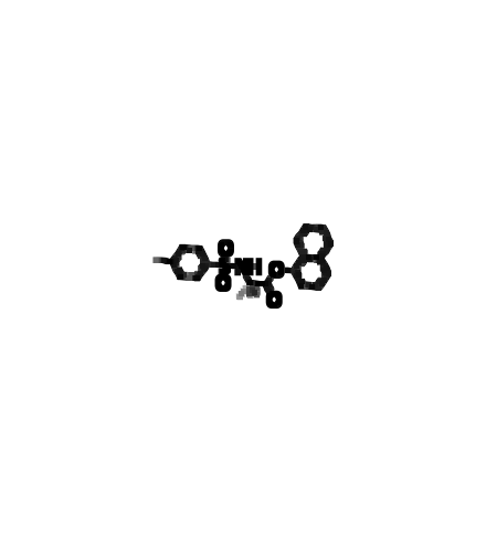 Cc1ccc(S(=O)(=O)N[C@@H](C)C(=O)Oc2cccc3ccccc23)cc1